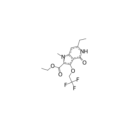 CCOC(=O)c1c(OCC(F)(F)F)c2c(=O)[nH]c(CC)cc2n1C